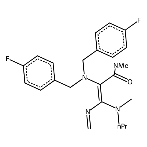 C=N/C(=C(/C(=O)NC)N(Cc1ccc(F)cc1)Cc1ccc(F)cc1)N(C)CCC